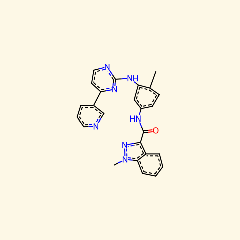 Cc1ccc(NC(=O)c2nn(C)c3ccccc23)cc1Nc1nccc(-c2cccnc2)n1